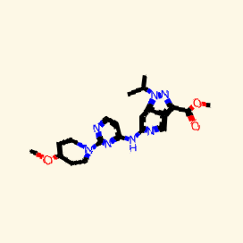 COC(=O)c1nn(C(C)C)c2cc(Nc3ccnc(N4CCC(OC)CC4)n3)ncc12